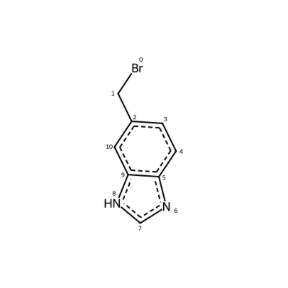 BrCc1ccc2nc[nH]c2c1